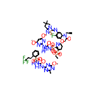 C#CCN1C(=O)COc2cc(F)c(/N=c3\snc4n3CC(C)(C)C4)cc21.CCS(=O)(=O)c1cccnc1S(=O)(=O)NC(=O)Nc1nc(OC)cc(OC)n1.COc1nc(C)nc(NC(=O)NS(=O)(=O)c2ccccc2CCC(F)(F)F)n1